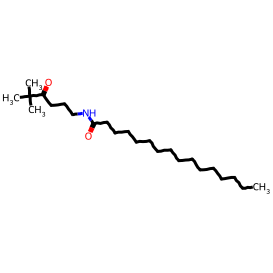 CCCCCCCCCCCCCCCC(=O)NCCCC(=O)C(C)(C)C